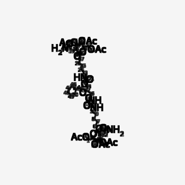 CC(=O)OC[C@H]1O[C@@H](OCCCCCNC(=O)NOCC(COC(=O)NCCCCCO[C@@H]2O[C@H](COC(C)=O)[C@H](OC(C)=O)[C@H](OC(C)=O)[C@H]2CC(N)=O)OCc2ccccc2)[C@H](CC(N)=O)[C@@H](OC(C)=O)[C@H]1OC(C)=O